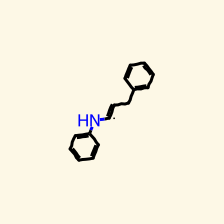 [C](=CCc1ccccc1)Nc1ccccc1